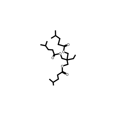 CCC(COC(=O)CCC(C)C)(COC(=O)CCC(C)C)COC(=O)CCC(C)C